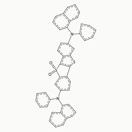 O=S1(=O)c2cc(N(c3ccccc3)c3cccc4ccccc34)ccc2-c2sc3cc(N(c4ccccc4)c4cccc5ccccc45)ccc3c21